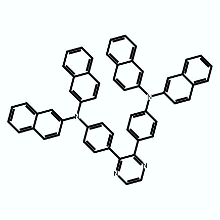 c1ccc2cc(N(c3ccc(-c4nccnc4-c4ccc(N(c5ccc6ccccc6c5)c5ccc6ccccc6c5)cc4)cc3)c3ccc4ccccc4c3)ccc2c1